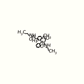 CCCCNC(=O)NCc1ccc2c(c1)C(c1ccccc1F)N(C(=O)NCCCC)CC(=O)N2C